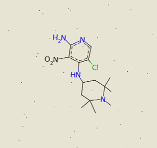 CN1C(C)(C)CC(Nc2c(Cl)cnc(N)c2[N+](=O)[O-])CC1(C)C